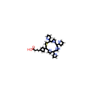 O=C(O)CCCc1ccc(-c2c3nc(c(-c4ccccn4)c4ccc([nH]4)c(-c4ccccn4)c4nc(c(-c5ccccn5)c5ccc2s5)C=C4)C=C3)cc1